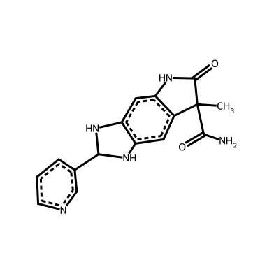 CC1(C(N)=O)C(=O)Nc2cc3c(cc21)NC(c1cccnc1)N3